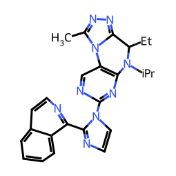 CCC1c2nnc(C)n2-c2cnc(-n3ccnc3-c3nccc4ccccc34)nc2N1C(C)C